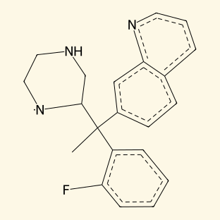 CC(c1ccc2cccnc2c1)(c1ccccc1F)C1CNCC[N]1